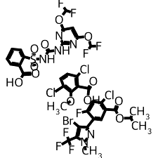 CC(C)OC(=O)c1cc(-c2nn(C)c(C(F)(F)F)c2Br)c(F)cc1Cl.COc1c(Cl)ccc(Cl)c1C(=O)O.O=C(Nc1nc(OC(F)F)cc(OC(F)F)n1)NS(=O)(=O)c1ccccc1C(=O)O